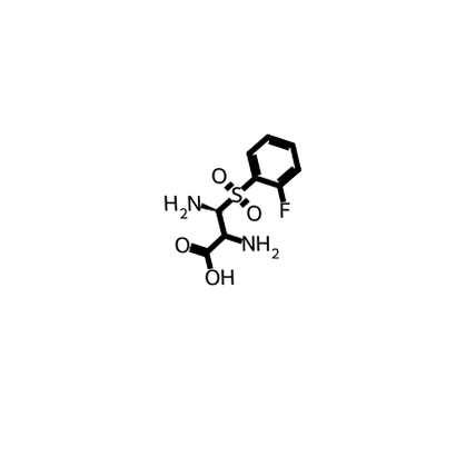 NC(C(=O)O)[C@@H](N)S(=O)(=O)c1ccccc1F